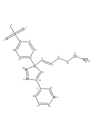 CS(=O)(=O)c1ccc(C2(C=CCCO[N+](=O)[O-])C=C(c3cccnc3)N=N2)cc1